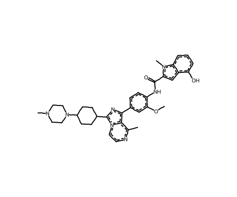 COc1cc(-c2nc(C3CCC(N4CCN(C)CC4)CC3)n3ccnc(C)c23)ccc1NC(=O)c1cc2c(O)cccc2n1C